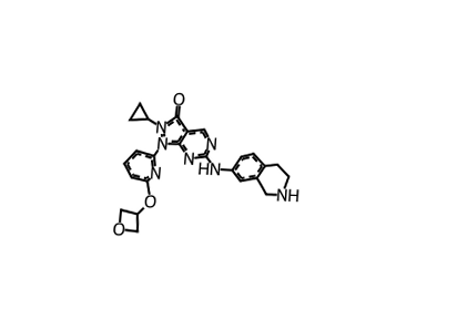 O=c1c2cnc(Nc3ccc4c(c3)CNCC4)nc2n(-c2cccc(OC3COC3)n2)n1C1CC1